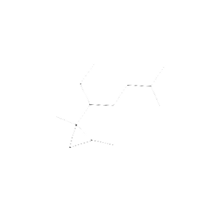 CCC(CCC(C)C)C1(C)CC1C